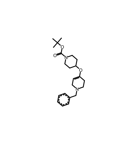 CC(C)(C)OC(=O)N1CCC(OC2=CCN(Cc3ccccc3)CC2)CC1